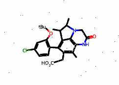 Cc1c(CC(=O)O)c(-c2ccc(Cl)cc2OC(C)(C)C)c2c3c1NC(=O)CN3C(C)C2C